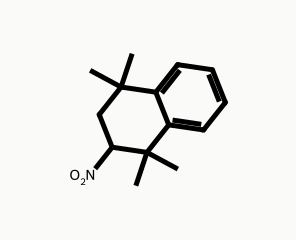 CC1(C)CC([N+](=O)[O-])C(C)(C)c2ccccc21